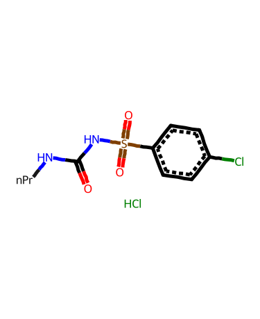 CCCNC(=O)NS(=O)(=O)c1ccc(Cl)cc1.Cl